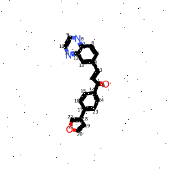 O=C(C=Cc1ccc2nccnc2c1)c1ccc(-c2ccoc2)cc1